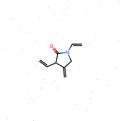 C=CC1C(=C)CN(C=C)C1=O